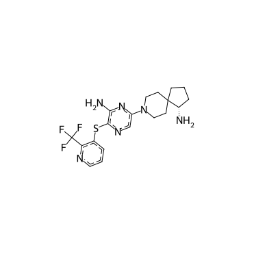 Nc1nc(N2CCC3(CCC[C@@H]3N)CC2)cnc1Sc1cccnc1C(F)(F)F